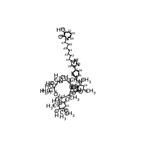 CC[C@H]1OC(=O)[C@H](C)[C@@H](O[C@H]2C[C@@](C)(OC)[C@@H](O)[C@H](C)O2)[C@H](C)[C@@H](O[C@@H]2O[C@H](C)C[C@H](N(C)Cc3ccc(-c4cn(CCCCCCCn5cccc(O)c5=O)nn4)cc3)[C@H]2O)[C@](C)(O)C[C@@H](C)CN(C)[C@H](C)[C@@H](O)[C@]1(C)O